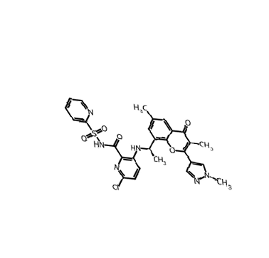 Cc1cc([C@@H](C)Nc2ccc(Cl)nc2C(=O)NS(=O)(=O)c2ccccn2)c2oc(-c3cnn(C)c3)c(C)c(=O)c2c1